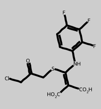 O=C(CCl)CSC(Nc1ccc(F)c(F)c1F)=C(C(=O)O)C(=O)O